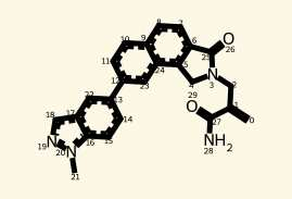 C=C(CN1Cc2c(ccc3ccc(-c4ccc5c(cnn5C)c4)cc23)C1=O)C(N)=O